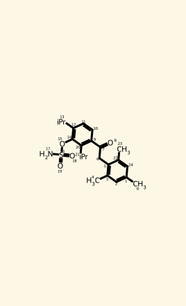 Cc1cc(C)c(CC(=O)c2ccc(C(C)C)c(OS(N)(=O)=O)c2C(C)C)c(C)c1